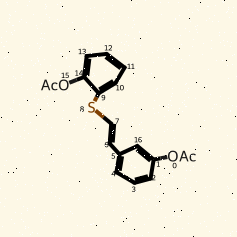 CC(=O)Oc1cccc(C=CSc2ccccc2OC(C)=O)c1